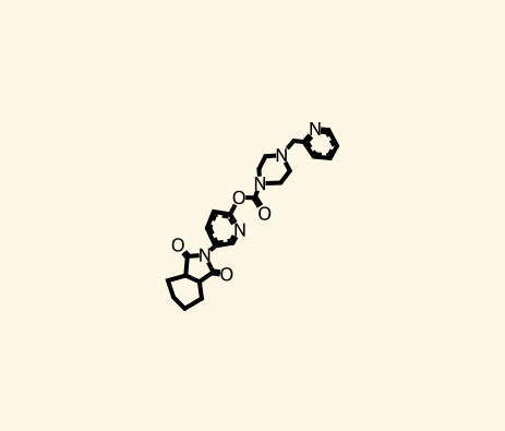 O=C(Oc1ccc(N2C(=O)C3CCCCC3C2=O)cn1)N1CCN(Cc2ccccn2)CC1